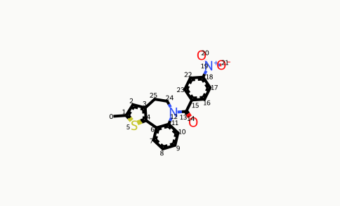 Cc1cc2c(s1)-c1ccccc1N(C(=O)c1ccc([N+](=O)[O-])cc1)CC2